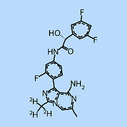 [2H]C([2H])([2H])c1nc(-c2ccc(NC(=O)[C@H](O)c3cc(F)cc(F)c3)cc2F)c2c(N)nc(C)cn12